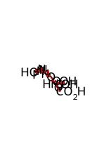 O=C(O)CCOCC(COCCC(O)O)NC(=O)CCCOc1ccc2c(c1)CCC(c1cn(-c3ccc(O)c(F)c3)nn1)=N2